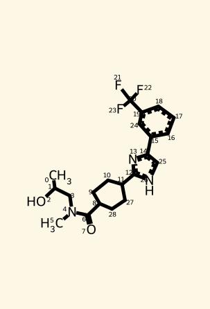 CC(O)CN(C)C(=O)C1CCC(c2nc(-c3cccc(C(F)(F)F)c3)c[nH]2)CC1